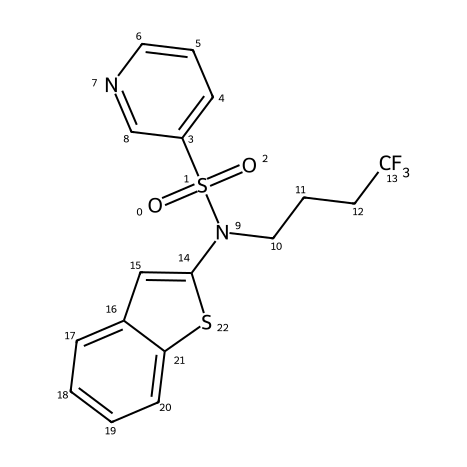 O=S(=O)(c1cccnc1)N(CCCC(F)(F)F)c1cc2ccccc2s1